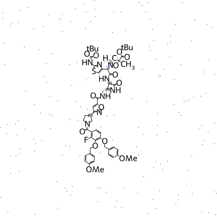 COc1ccc(COc2ccc(C(=O)N3CC[C@@H](c4cc(C(=O)NC[C@H]5NC(=O)[C@H]5NC(=O)/C(=N\OC(C)(C)C(=O)OC(C)(C)C)c5csc(NC(=O)OC(C)(C)C)n5)on4)C3)c(F)c2OCc2ccc(OC)cc2)cc1